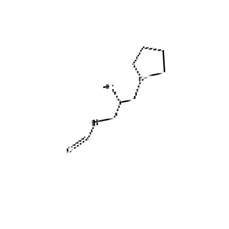 O=[C]NCC(O)CN1CCCC1